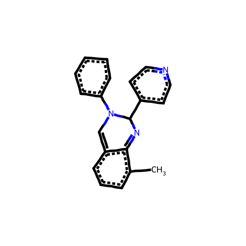 Cc1cccc2c1=NC(c1ccncc1)N(c1ccccc1)C=2